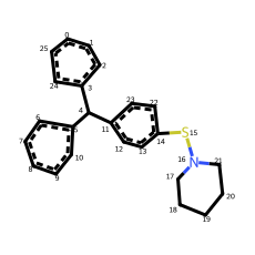 c1ccc(C(c2ccccc2)c2ccc(SN3CCCCC3)cc2)cc1